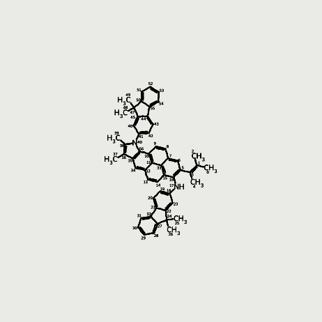 CC(C)=C(C)c1cc2ccc3c4c(ccc(c1Nc1ccc5c(c1)C(C)(C)c1ccccc1-5)c24)cc1c(C)c(C)n(-c2ccc4c(c2)C(C)(C)c2ccccc2-4)c13